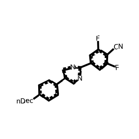 CCCCCCCCCCc1ccc(-c2cnc(-c3cc(F)c(C#N)c(F)c3)nc2)cc1